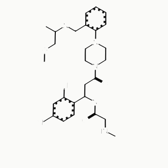 CNCC(=O)NC(CC(=O)N1CCN(c2ccccc2CNC(C)COC)CC1)c1ccc(Cl)cc1Cl